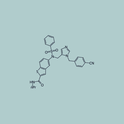 CCCNC(=O)c1cc2cc(N(Cc3cncn3Cc3ccc(C#N)cc3)S(=O)(=O)c3ccccc3)ccc2s1